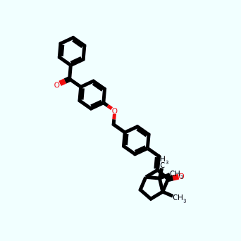 CC12CCC(C(=Cc3ccc(COc4ccc(C(=O)c5ccccc5)cc4)cc3)C1=O)C2(C)C